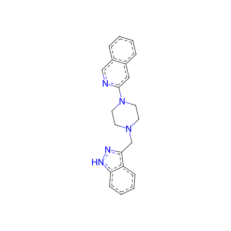 c1ccc2cc(N3CCN(Cc4n[nH]c5ccccc45)CC3)ncc2c1